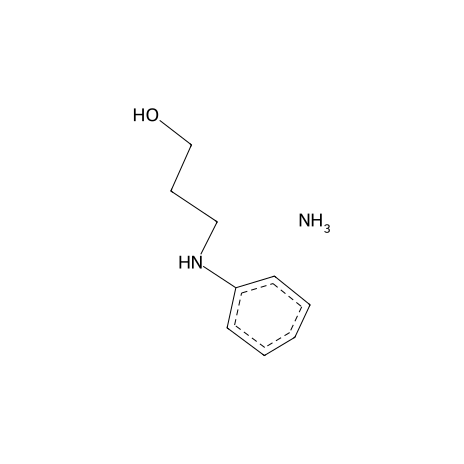 N.OCCCNc1ccccc1